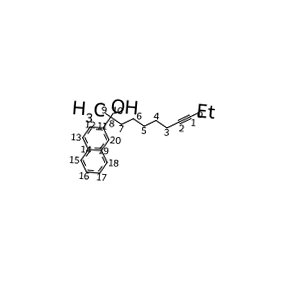 CCC#CCCCCCC(C)(O)c1ccc2ccccc2c1